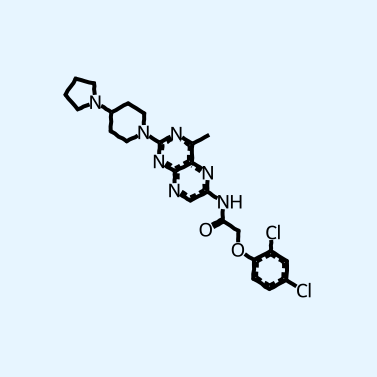 Cc1nc(N2CCC(N3CCCC3)CC2)nc2ncc(NC(=O)COc3ccc(Cl)cc3Cl)nc12